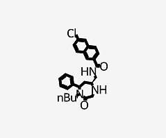 CCCCN1C(=O)CN[C@H](CNC(=O)c2ccc3cc(Cl)ccc3c2)CC1c1ccccc1